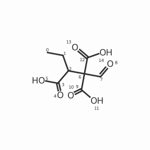 CCC(C(=O)O)C(C=O)(C(=O)O)C(=O)O